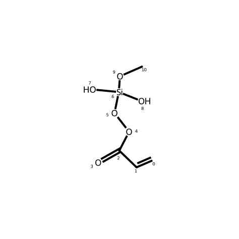 C=CC(=O)OO[Si](O)(O)OC